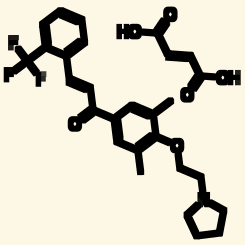 Cc1cc(C(=O)C=Cc2ccccc2C(F)(F)F)cc(C)c1OCCN1CCCC1.O=C(O)C=CC(=O)O